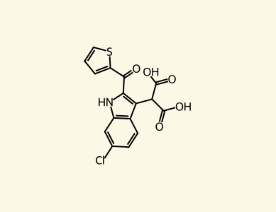 O=C(c1cccs1)c1[nH]c2cc(Cl)ccc2c1C(C(=O)O)C(=O)O